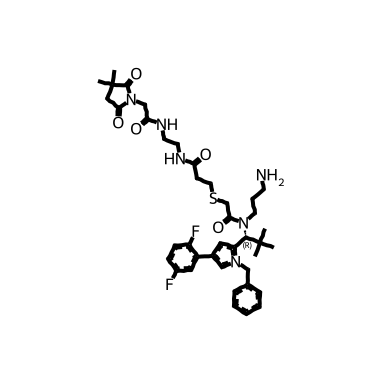 CC1(C)CC(=O)N(CC(=O)NCCNC(=O)CCSCC(=O)N(CCCN)[C@@H](c2cc(-c3cc(F)ccc3F)cn2Cc2ccccc2)C(C)(C)C)C1=O